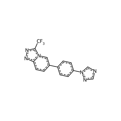 FC(F)(F)c1nnc2ccc(-c3ccc(-n4cncn4)cc3)cn12